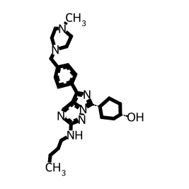 CCCCNc1ncc2c(-c3ccc(CN4CCN(C)CC4)cc3)nc([C@H]3CC[C@@H](O)CC3)n2n1